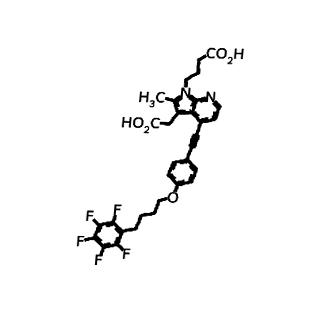 Cc1c(CC(=O)O)c2c(C#Cc3ccc(OCCCCc4c(F)c(F)c(F)c(F)c4F)cc3)ccnc2n1CCCC(=O)O